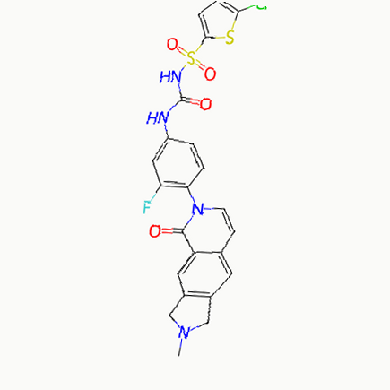 CN1Cc2cc3ccn(-c4ccc(NC(=O)NS(=O)(=O)c5ccc(Cl)s5)cc4F)c(=O)c3cc2C1